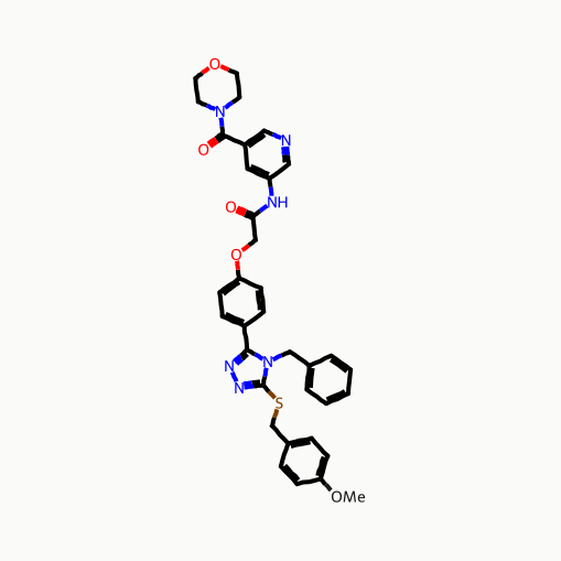 COc1ccc(CSc2nnc(-c3ccc(OCC(=O)Nc4cncc(C(=O)N5CCOCC5)c4)cc3)n2Cc2ccccc2)cc1